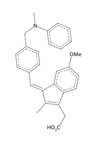 COc1ccc2c(c1)/C(=C\c1ccc(CN(C)c3ccccc3)cc1)C(C)=C2CC(=O)O